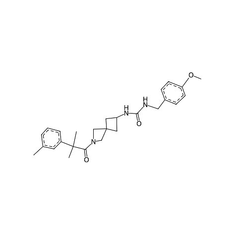 COc1ccc(CNC(=O)NC2CC3(C2)CN(C(=O)C(C)(C)c2cccc(C)c2)C3)cc1